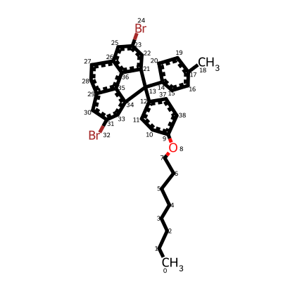 CCCCCCCCOc1ccc(C2(c3ccc(C)cc3)c3cc(Br)cc4ccc5cc(Br)cc2c5c34)cc1